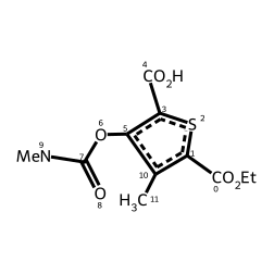 CCOC(=O)c1sc(C(=O)O)c(OC(=O)NC)c1C